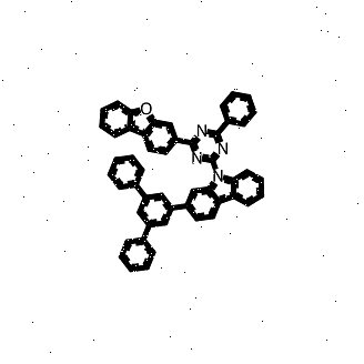 c1ccc(-c2cc(-c3ccccc3)cc(-c3ccc4c5ccccc5n(-c5nc(-c6ccccc6)nc(-c6ccc7c(c6)oc6ccccc67)n5)c4c3)c2)cc1